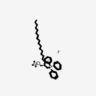 CCCCCCCCCCCCCCCC[C@H](C)[C@H](CO[Si](C)(C)C)C[P+](c1ccccc1)(c1ccccc1)c1ccccc1.[I-]